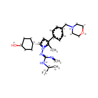 C=N/C(=N\n1c(C)c(-c2ccc(CN3CCOCC3)cc2)cc1[C@H]1CC[C@H](O)CC1)N[C@@H](C)C(F)(F)F